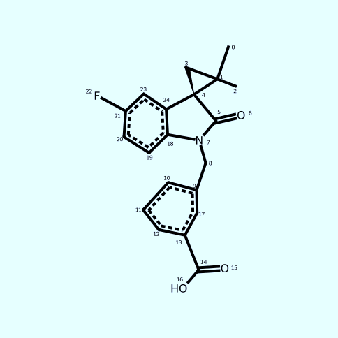 CC1(C)C[C@]12C(=O)N(Cc1cccc(C(=O)O)c1)c1ccc(F)cc12